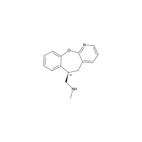 CNC[C@@H]1Cc2cccnc2Oc2ccccc21